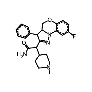 CN1CCC(C(C(N)=O)C2=NN3c4cc(F)ccc4OCC3C2c2ccccc2)CC1